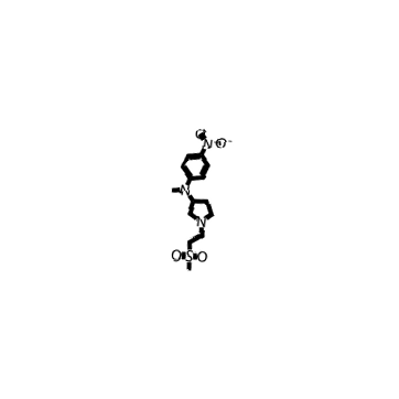 CN(c1ccc([N+](=O)[O-])cc1)C1CCN(CCS(C)(=O)=O)C1